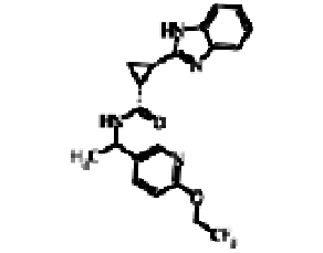 CC(NC(=O)[C@@H]1C[C@H]1c1nc2ccccc2[nH]1)c1ccc(OCC(F)(F)F)nc1